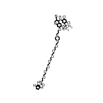 COc1cc(Nc2c(C#N)cnc3cc(OCCCN4CCN(CCOCCOCCOCCOCCOCCOCCOCCNC(=O)[C@H]5C[C@H]6C=C[C@@H]5C6)CC4)c(OC)cc23)c(Cl)cc1Cl